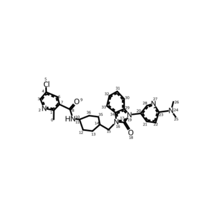 Cc1ncc(Cl)cc1C(=O)NC1CCC(Cn2c(=O)n(-c3ccc(N(C)C)nc3)c3ccccc32)CC1